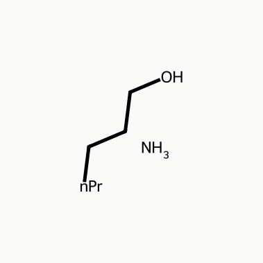 CCCCCCO.N